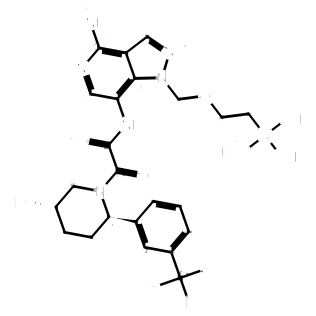 C[C@H]1CC[C@H](c2cccc(C(F)(F)F)c2)N(C(=O)C(=O)Nc2cnc(N)c3cnn(COCC[Si](C)(C)C)c23)C1